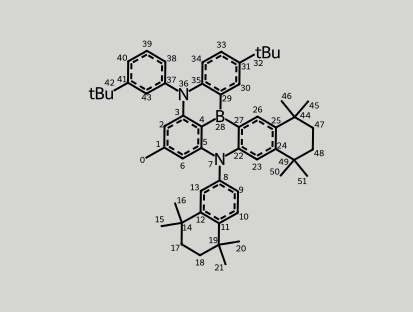 Cc1cc2c3c(c1)N(c1ccc4c(c1)C(C)(C)CCC4(C)C)c1cc4c(cc1B3c1cc(C(C)(C)C)ccc1N2c1cccc(C(C)(C)C)c1)C(C)(C)CCC4(C)C